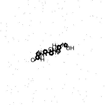 Cc1c(Nc2nccc3cc(C=O)cnc23)cccc1-c1cccc(Nc2nccc3cc(CN4CC[C@@H](O)C4)cnc23)c1Cl